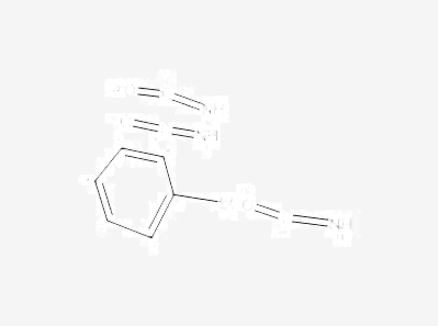 CCc1ccccc1.N=C=O.N=C=O.N=C=O